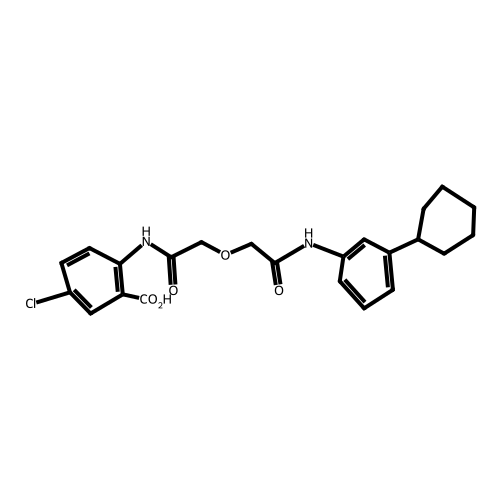 O=C(COCC(=O)Nc1ccc(Cl)cc1C(=O)O)Nc1cccc(C2CCCCC2)c1